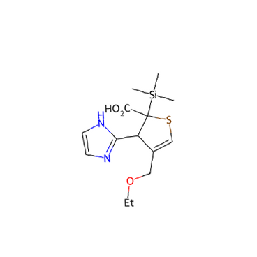 CCOCC1=CSC(C(=O)O)([Si](C)(C)C)C1c1ncc[nH]1